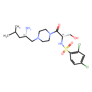 CC(C)C[C@H](N)CN1CCN(C(=O)[C@H](CO)NS(=O)(=O)c2ccc(Cl)cc2Cl)CC1